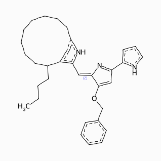 CCCCC1CCCCCCCCc2cc1c(/C=C1\N=C(c3ccc[nH]3)C=C1OCc1ccccc1)[nH]2